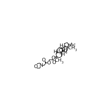 CC(=O)[C@H]1CC[C@H]2[C@@H]3CC[C@H]4C[C@](C)(OC(=O)COC(=O)CN5CCOCC5)CC[C@]4(C)[C@H]3CC[C@]12C